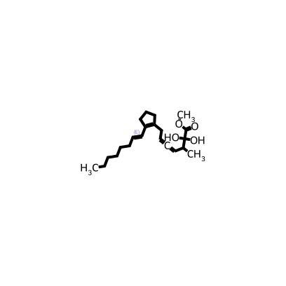 CCCCCC/C=C/C1=C(CC=C=CC(C)C(O)(O)C(=O)OC)CCC1